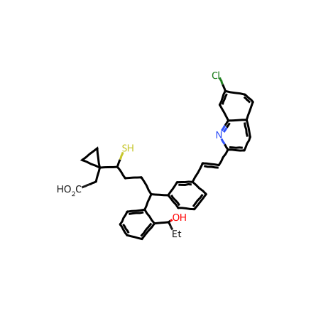 CCC(O)c1ccccc1C(CCC(S)C1(CC(=O)O)CC1)c1cccc(C=Cc2ccc3ccc(Cl)cc3n2)c1